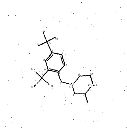 CC1CN(Cc2ccc(C(C)(C)C)cc2C(F)(F)F)CCN1